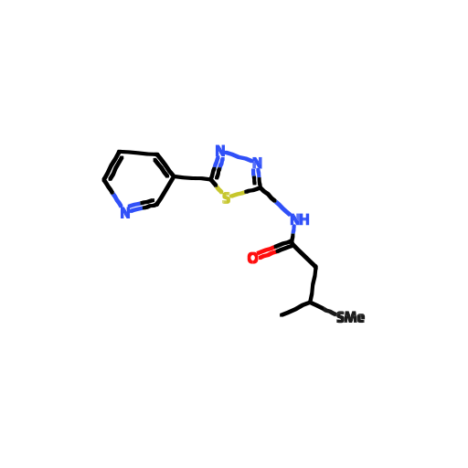 CSC(C)CC(=O)Nc1nnc(-c2cccnc2)s1